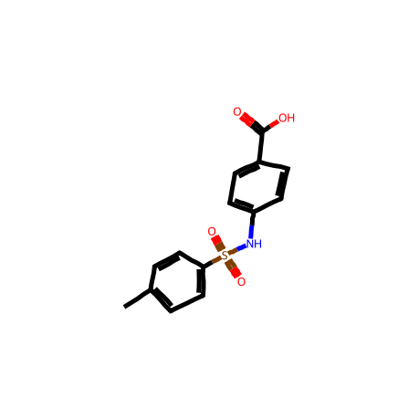 Cc1ccc(S(=O)(=O)Nc2ccc(C(=O)O)cc2)cc1